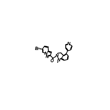 CN1c2cccc(-c3ccncc3)c2CCN1C(=O)c1cc2ccc(Br)cn2n1